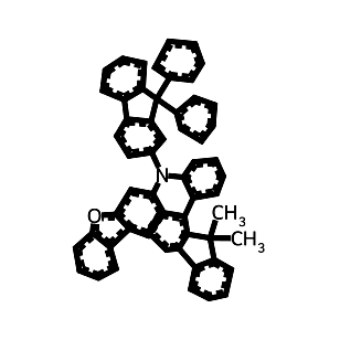 CC1(C)c2ccccc2-c2cccc(-c3ccccc3N(c3ccc4c(c3)C(c3ccccc3)(c3ccccc3)c3ccccc3-4)c3ccc4c(c3)oc3ccccc34)c21